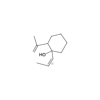 C=C(C)C1CCCCC1(O)/C=C\C